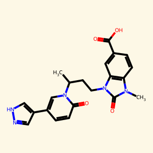 CC(CCn1c(=O)n(C)c2ccc(C(=O)O)cc21)n1cc(-c2cn[nH]c2)ccc1=O